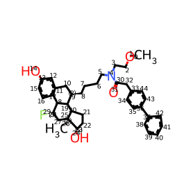 COCCN(CCCC[C@@H]1Cc2cc(O)ccc2C2C1C1CC[C@H](O)[C@@]1(C)C[C@@H]2F)C(=O)Cc1ccc(-c2ccccc2)cc1